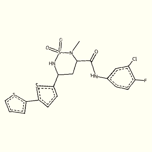 CN1C(C(=O)Nc2ccc(F)c(Cl)c2)CC(c2ccc(-c3cccs3)s2)NS1(=O)=O